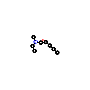 c1ccc(-c2ccc(-c3ccc(-c4ccc5oc6cc(-c7nc(-c8ccccc8)nc(-c8cccc(-c9ccccc9)c8)n7)ccc6c5c4)cc3)cc2)cc1